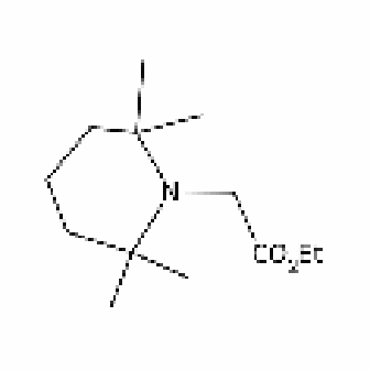 CCOC(=O)CN1C(C)(C)CCCC1(C)C